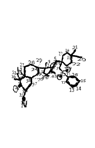 CC[C@@](C)(CCC1(CS(=O)(=O)c2ccccc2)CCC(C)(C)CC1)[C@]1(C)CC[C@H]2C(C)(C)C(=O)C(C#N)=C[C@]2(C)[C@H]1CC(C)=O